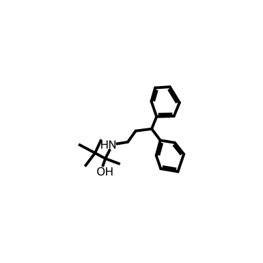 CC(C)(C)C(C)(O)NCCC(c1ccccc1)c1ccccc1